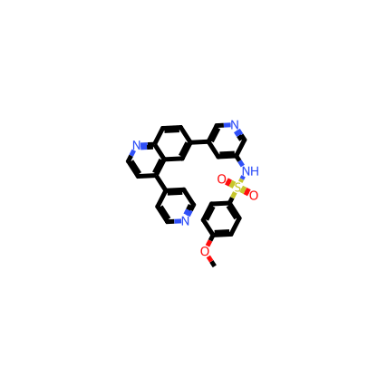 COc1ccc(S(=O)(=O)Nc2cncc(-c3ccc4nccc(-c5ccncc5)c4c3)c2)cc1